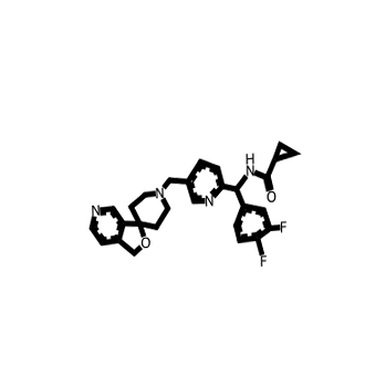 O=C(NC(c1ccc(F)c(F)c1)c1ccc(CN2CCC3(CC2)OCc2ccncc23)cn1)C1CC1